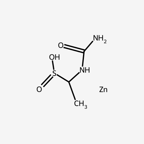 CC(NC(N)=O)S(=O)O.[Zn]